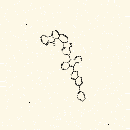 c1ccc(-c2ccc3cc(-c4c5ccccc5c(-c5ccc6c(c5)sc5ccc7ccc8c9ccccc9sc8c7c56)c5ccccc45)ccc3c2)cc1